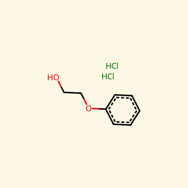 Cl.Cl.OCCOc1ccccc1